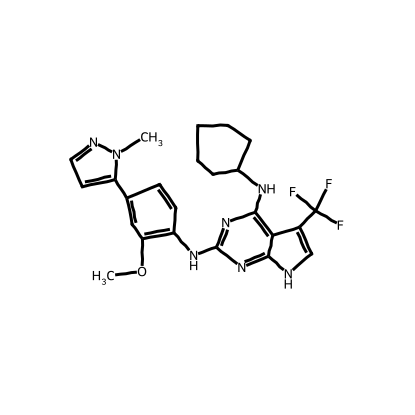 COc1cc(-c2ccnn2C)ccc1Nc1nc(NC2CCCCC2)c2c(C(F)(F)F)c[nH]c2n1